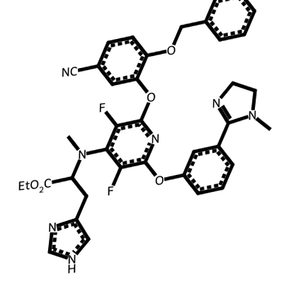 CCOC(=O)C(Cc1c[nH]cn1)N(C)c1c(F)c(Oc2cccc(C3=NCCN3C)c2)nc(Oc2cc(C#N)ccc2OCc2ccccc2)c1F